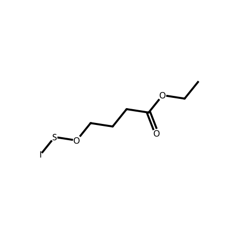 CCOC(=O)CCCOSI